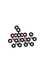 c1ccc(N(c2ccccc2)c2cc3c4c(c2)N(c2ccccc2)c2cc5c(cc2B4c2ccccc2N3c2ccccc2)B2c3ccccc3N(c3ccccc3)c3cc(N(c4ccccc4)c4ccccc4)cc(c32)N5c2c3ccccc3c(-c3ccc4ccccc4c3)c3ccccc23)cc1